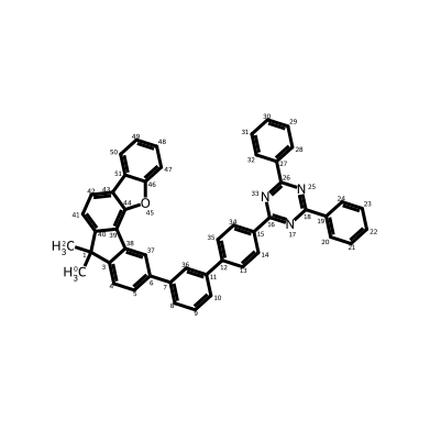 CC1(C)c2ccc(-c3cccc(-c4ccc(-c5nc(-c6ccccc6)nc(-c6ccccc6)n5)cc4)c3)cc2-c2c1ccc1c2oc2ccccc21